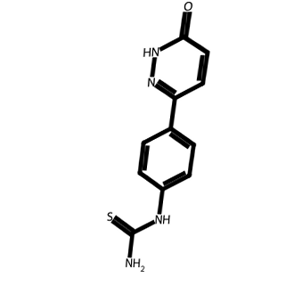 NC(=S)Nc1ccc(-c2ccc(=O)[nH]n2)cc1